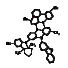 Cc1cc2c3c(c1)N(c1ccc(C(C)(C)C)cc1-c1ccccc1)c1ccc(C(C)(C)C)cc1B3c1ccc(N3c4ccc(C(C)(C)C)cc4C4(C)CCCCC34C)cc1N2c1ccc2c(c1)oc1ccccc12